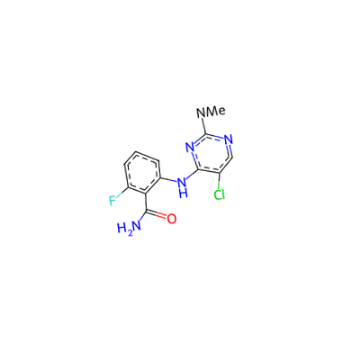 CNc1ncc(Cl)c(Nc2cccc(F)c2C(N)=O)n1